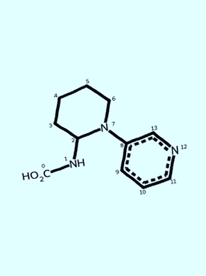 O=C(O)NC1CCCCN1c1cccnc1